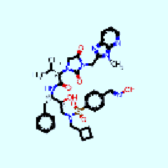 CC(C)[C@@H](C(=O)N[C@@H](Cc1ccccc1)[C@@H](O)CN(CC1CCC1)S(=O)(=O)c1ccc(C=NO)cc1)N1CC(=O)N(Cc2nc3cccnc3n2C)C1=O